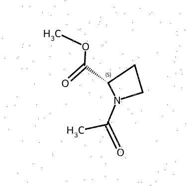 COC(=O)[C@@H]1CCN1C(C)=O